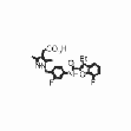 CCc1c(C(=O)Nc2ccc(Cn3nc(C)c(CC(=O)O)c3C)c(F)c2)oc2c(F)cccc12